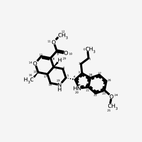 CCCc1c([C@H]2C[C@H]3C(C(=O)OC)=CO[C@H](C)C3CN2)[nH]c2cc(OC)ccc12